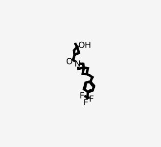 CC1(O)CC(C(=O)N2CC3(CC(Cc4ccc(C(F)(F)F)cc4)C3)C2)C1